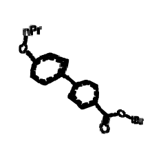 CCCOc1ccc(-c2ccc(C(=O)OC(C)(C)C)cc2)cc1